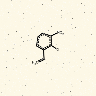 C=[C]c1cccc([N+](=O)[O-])c1Cl